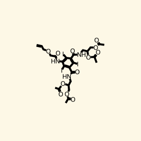 C=CCOCC(=O)Nc1c(I)c(C(=O)NCC(COC(C)=O)OC(C)=O)c(I)c(C(=O)NCC(COC(C)=O)OC(C)=O)c1I